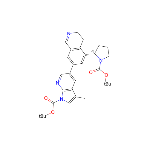 Cc1cn(C(=O)OC(C)(C)C)c2ncc(-c3cc4c(c([C@@H]5CCCN5C(=O)OC(C)(C)C)c3)CCN=C4)cc12